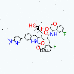 CN(C)c1ccc(-c2ccc(C[C@H](NC(=O)OC(C)(C)C)[C@H](C[C@@H](Cc3ccccc3F)C(=O)N[C@H]3c4cc(F)ccc4OC[C@H]3O)CC(C)(C)[Si](C)(C)O)cc2)cn1